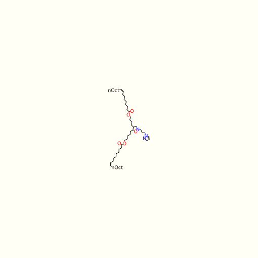 CCCCCCCC/C=C\CCCCCCCC(=O)OCCCCCC1ON(CCCn2cccn2)CC1CCCCOC(=O)CCCCCCC/C=C\CCCCCCCC